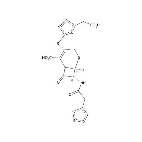 O=C(O)Cc1csc(SC2=C(C(=O)O)N3C(=O)[C@@H](NC(=O)Cc4ccsc4)[C@@H]3SC2)n1